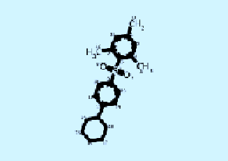 Cc1cc(C)c(S(=O)(=O)c2ccc(C3CCCCC3)cc2)c(C)c1